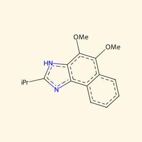 COc1c(OC)c2[nH]c(C(C)C)nc2c2ccccc12